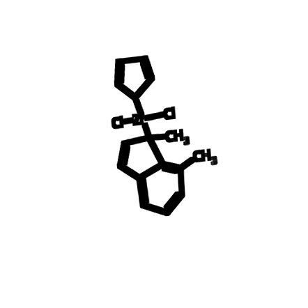 Cc1cccc2c1[C](C)([Zr]([Cl])([Cl])[CH]1C=CC=C1)C=C2